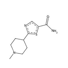 CN1CCC(c2ncc(C(N)=O)s2)CC1